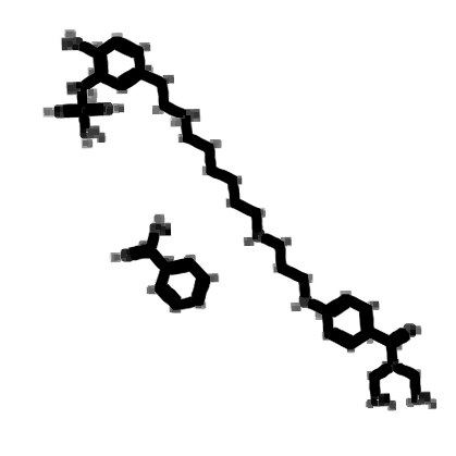 CCN(CC)C(=O)c1ccc(OCCCOCCCCCCNCCc2ccc(O)c(NS(C)(=O)=O)c2)cc1.O=C(O)c1ccccc1